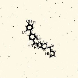 CCc1cc(O)c(F)cc1-c1ccc(C(=N)c2nc3c([nH]2)CN(C(=O)C2CCCN2)C3)c(N)c1